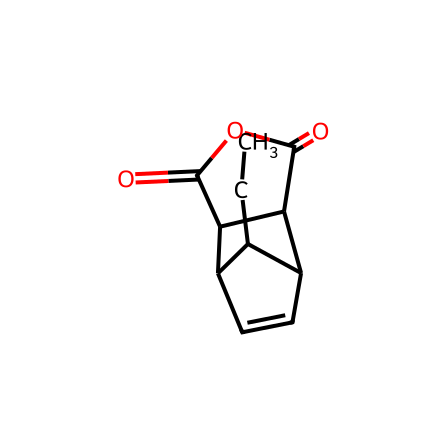 CCC1C2C=CC1C1C(=O)OC(=O)C21